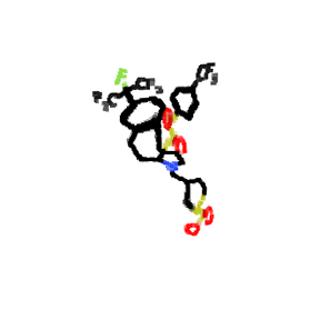 O=S1(=O)CCC(CN2CCC3(S(=O)(=O)c4ccc(C(F)(F)F)cc4)c4ccc(C(F)(C(F)(F)F)C(F)(F)F)cc4CCC23)C1